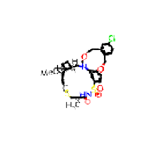 CO[C@H]1CCSC[C@@H](C)C(=O)NS(=O)(=O)c2ccc3c(c2)N(COCCc2cc(Cl)ccc2CO3)C[C@@H]2CC[C@H]21